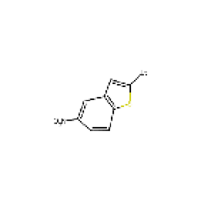 CCc1cc2cc([N+](=O)[O-])ccc2s1